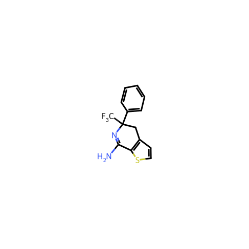 NC1=NC(c2ccccc2)(C(F)(F)F)Cc2ccsc21